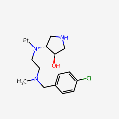 CCN(CCN(C)Cc1ccc(Cl)cc1)[C@@H]1CNC[C@H]1O